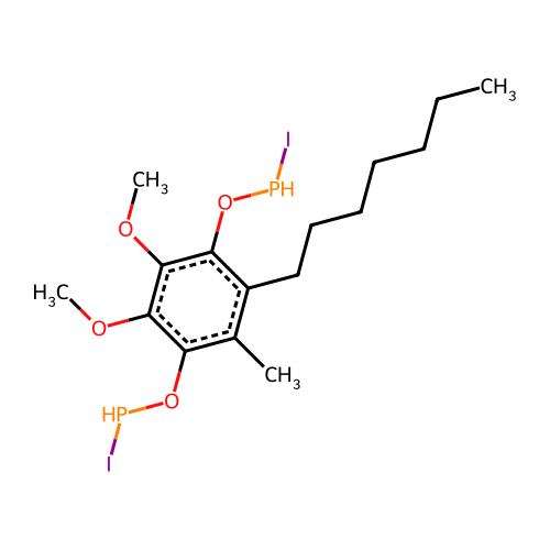 CCCCCCCc1c(C)c(OPI)c(OC)c(OC)c1OPI